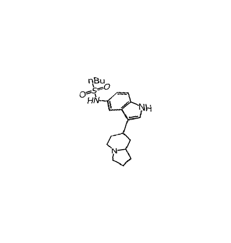 CCCCS(=O)(=O)Nc1ccc2[nH]cc(C3CCN4CCCC4C3)c2c1